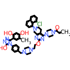 C=CC(=O)N1CCN(c2nc(OCCN3CCN(Cc4ccc(-n5c(O)nnc5-c5cc(C)c(O)cc5O)cc4)CC3)nc3c2CCN(c2cccc4cccc(Cl)c24)C3)CC1